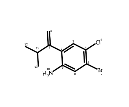 C=C(c1cc(Cl)c(Br)cc1N)C(C)C